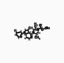 Cc1cn(-c2cc(F)ccn2)c2ccnc(N3C[C@@H](C)N(C(=O)OC(C)(C)C)C[C@@H]3C)c12